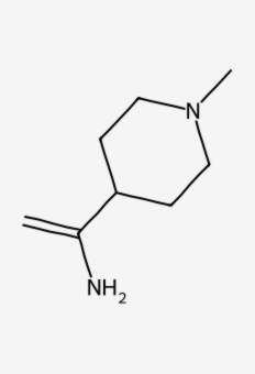 C=C(N)C1CCN(C)CC1